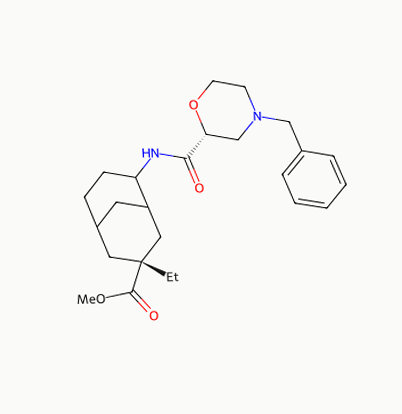 CC[C@@]1(C(=O)OC)CC2CCC(NC(=O)[C@H]3CN(Cc4ccccc4)CCO3)C(C2)C1